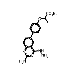 CCOC(=O)C(C)Oc1ccc(-c2ccc3nc(N)nc(NN)c3c2)cc1